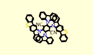 N#Cc1c(-n2c3ccccc3c3ccccc32)c(-n2c3ccccc3c3cc4sc5ccccc5c4cc32)c(C#N)c(-n2c3ccccc3c3ccccc32)c1-n1c2ccccc2c2cc3sc4ccccc4c3cc21